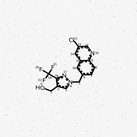 OCc1cn(Cc2ccc3ncc(Cl)cc3c2)nc1C(F)(F)F